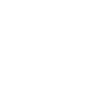 C=CC(Br)(Br)c1cccs1